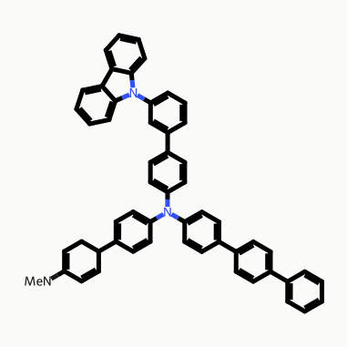 CNC1=CCC(c2ccc(N(c3ccc(-c4ccc(-c5ccccc5)cc4)cc3)c3ccc(-c4cccc(-n5c6ccccc6c6ccccc65)c4)cc3)cc2)C=C1